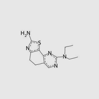 CCN(CC)c1ncc2c(n1)-c1sc(N)nc1CC2